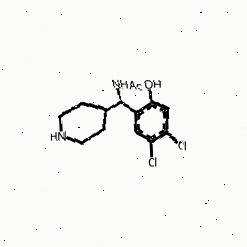 CC(=O)N[C@@H](c1cc(Cl)c(Cl)cc1O)C1CCNCC1